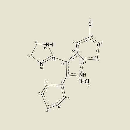 Cl.Clc1ccc2[nH]c(-c3ccccc3)c(C3=NCCN3)c2c1